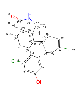 C[C@H]1C[C@@H](c2ccc(O)cc2Cl)[C@H](c2ccc(Cl)cc2)[C@H]2[C@@H]1C(=O)N[C@@H]2C